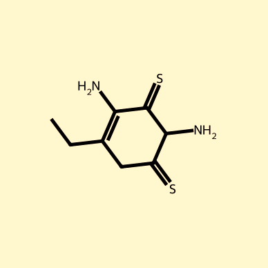 CCC1=C(N)C(=S)C(N)C(=S)C1